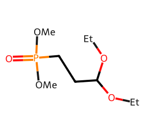 CCOC(CCP(=O)(OC)OC)OCC